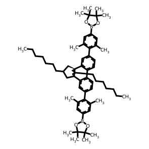 CCCCCCCC1C[C@]23CC(CCCCCCC)C[C@@]2(C1)c1cc(-c2c(C)cc(B4OC(C)(C)C(C)(C)O4)cc2C)ccc1-c1ccc(-c2c(C)cc(B4OC(C)(C)C(C)(C)O4)cc2C)cc13